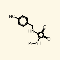 CC(C)Nc1c(NCc2ccc(C#N)cc2)c(=O)c1=O